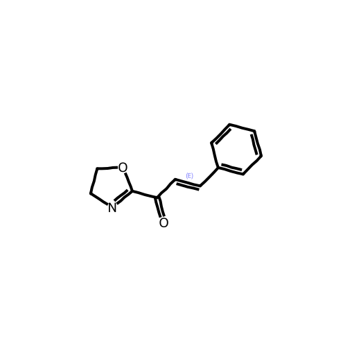 O=C(/C=C/c1ccccc1)C1=NCCO1